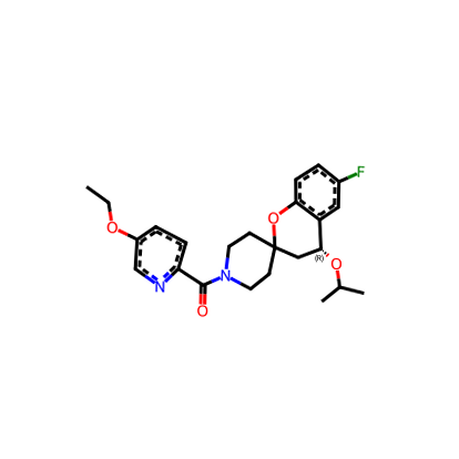 CCOc1ccc(C(=O)N2CCC3(CC2)C[C@@H](OC(C)C)c2cc(F)ccc2O3)nc1